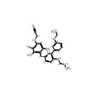 CCOc1cccc(-c2nc(Cc3c(C)cc(OCC#N)c(F)c3C)ccc2OCOC)c1